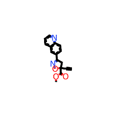 C#CC1(C(=O)OC)CC(c2ccc3ncccc3c2)=NO1